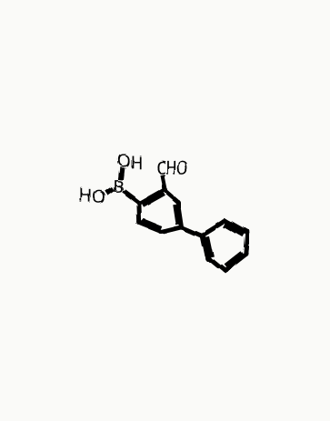 O=Cc1cc(-c2ccccc2)ccc1B(O)O